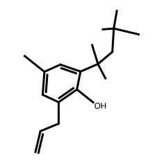 C=CCc1cc(C)cc(C(C)(C)CC(C)(C)C)c1O